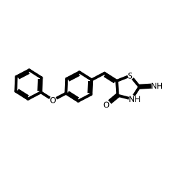 N=C1NC(=O)/C(=C\c2ccc(Oc3ccccc3)cc2)S1